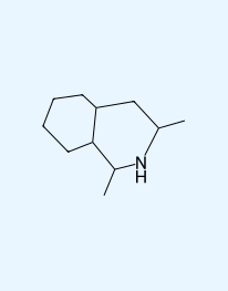 CC1CC2CCCCC2C(C)N1